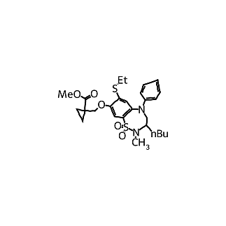 CCCCC1CN(c2ccccc2)c2cc(SCC)c(OCC3(C(=O)OC)CC3)cc2S(=O)(=O)N1C